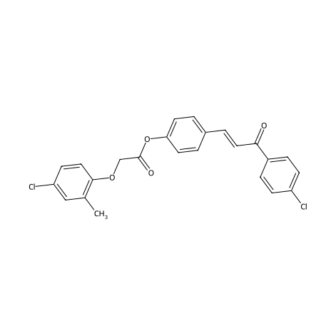 Cc1cc(Cl)ccc1OCC(=O)Oc1ccc(C=CC(=O)c2ccc(Cl)cc2)cc1